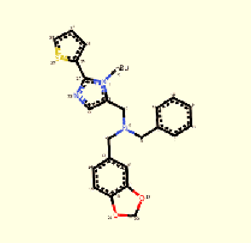 CCCCn1c(CN(Cc2ccccc2)Cc2ccc3c(c2)OCO3)cnc1-c1cccs1